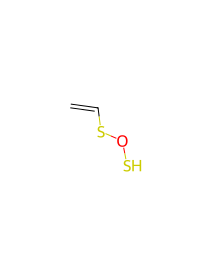 C=CSOS